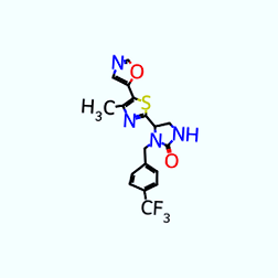 Cc1nc(C2CNC(=O)N2Cc2ccc(C(F)(F)F)cc2)sc1-c1cnco1